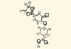 C=C1OB(c2ccc(O[C@H]3CC[C@@H](C(=O)OC)CC3)c(Cl)c2)OC1(C)C